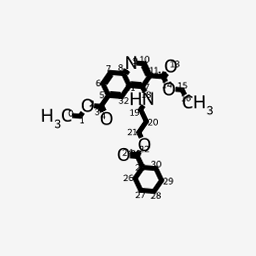 CCOC(=O)c1ccc2ncc(C(=O)OCC)c(NCCCOC(=O)C3CCCCC3)c2c1